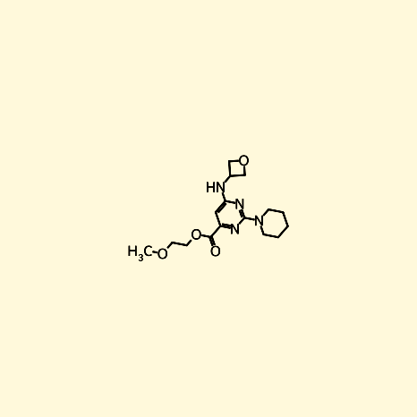 COCCOC(=O)c1cc(NC2COC2)nc(N2CCCCC2)n1